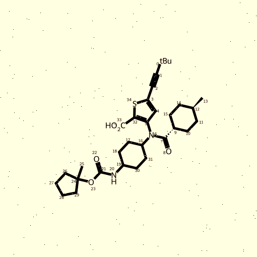 CC(C)(C)C#Cc1cc(N(C(=O)[C@H]2CC[C@H](C)CC2)C2CCC(NC(=O)OC3(C)CCCC3)CC2)c(C(=O)O)s1